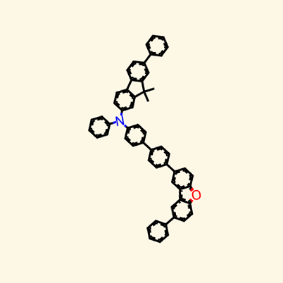 CC1(C)c2cc(-c3ccccc3)ccc2-c2ccc(N(c3ccccc3)c3ccc(-c4ccc(-c5ccc6oc7ccc(-c8ccccc8)cc7c6c5)cc4)cc3)cc21